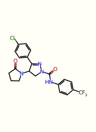 O=C(Nc1ccc(C(F)(F)F)cc1)N1CC(N2CCCC2=O)C(c2ccc(Cl)cc2)=N1